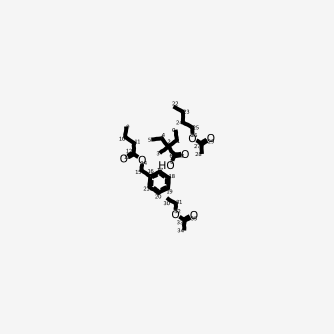 CCC(C)(CC)C(=O)O.CCCC(=O)OCc1ccccc1.CCCCOC(C)=O.CCOC(C)=O